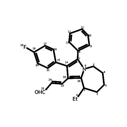 CCC1CCCCn2c(-c3ccccc3)c(-c3ccc(F)cc3)c(C=CC=O)c21